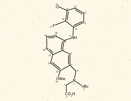 CCCCN(CC(=O)O)Cc1cc2c(Nc3cccc(Cl)c3F)ncnc2cc1OC